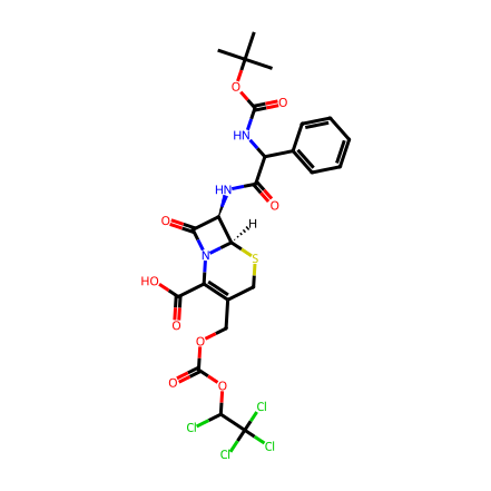 CC(C)(C)OC(=O)NC(C(=O)N[C@@H]1C(=O)N2C(C(=O)O)=C(COC(=O)OC(Cl)C(Cl)(Cl)Cl)CS[C@H]12)c1ccccc1